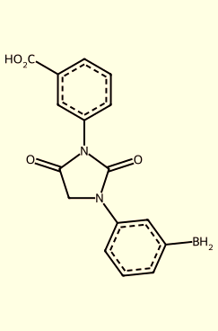 Bc1cccc(N2CC(=O)N(c3cccc(C(=O)O)c3)C2=O)c1